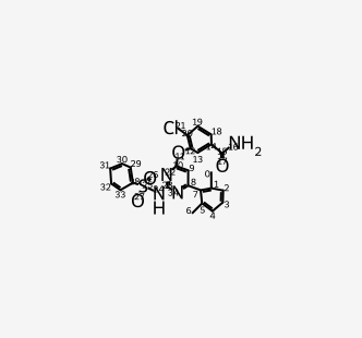 Cc1cccc(C)c1-c1cc(Oc2cc(C(N)=O)ccc2Cl)nc(NS(=O)(=O)c2ccccc2)n1